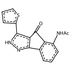 CC(=O)Nc1cccc2c1C(=O)c1c-2n[nH]c1-c1cccs1